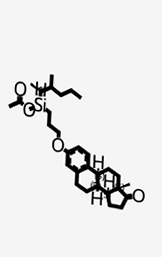 CCCC(C)[C@H](C)[SiH](CCCOc1ccc2c(c1)CC[C@@H]1[C@@H]2CC[C@]2(C)C(=O)CC[C@@H]12)OC(C)=O